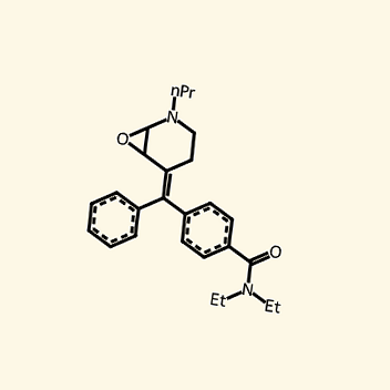 CCCN1CCC(=C(c2ccccc2)c2ccc(C(=O)N(CC)CC)cc2)C2OC21